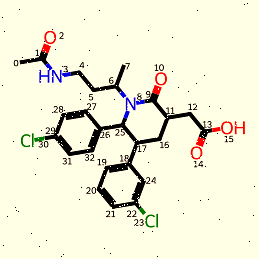 CC(=O)NCCC(C)N1C(=O)C(CC(=O)O)CC(c2cccc(Cl)c2)C1c1ccc(Cl)cc1